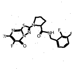 CCc1nc2sc(N3CCCC3C(=O)NCc3cccc(F)c3F)nn2c(=O)c1F